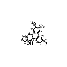 COc1ccc(C2=C[C@]3(O)CCCN3C[C@@H]2c2ccc(OC)c(OC)c2)cc1